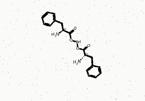 N[C@@H](Cc1ccccc1)C(=O)OBOC(=O)[C@@H](N)Cc1ccccc1